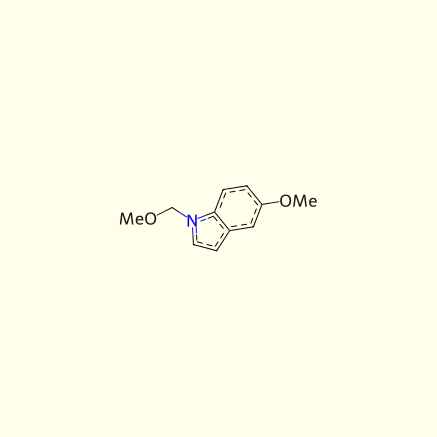 COCn1ccc2cc(OC)ccc21